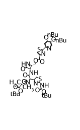 CCCCOc1cnc(-c2nc(C(=O)OC[C@H]3NC(=O)[C@H]3NC(=O)/C(=N\OC(C)(C)C(=O)OC(C)(C)C)C3CSC(NC(=O)OC(C)(C)C)=N3)cs2)cc1OCCCC